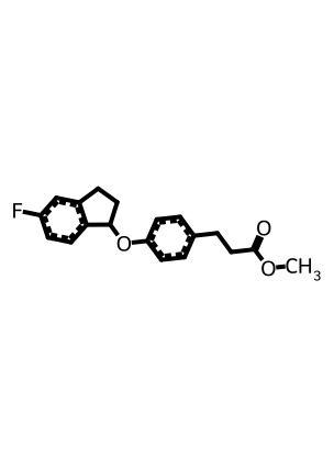 COC(=O)CCc1ccc(OC2CCc3cc(F)ccc32)cc1